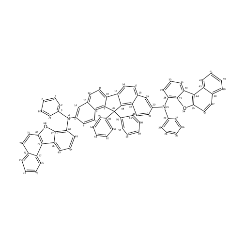 c1ccc(N(c2ccc3c4c(ccc3c2)-c2ccc3cc(N(c5ccccc5)c5cccc6c5oc5ccc7ccccc7c56)ccc3c2C4(c2ccccc2)c2ccccc2)c2cccc3c2oc2ccc4ccccc4c23)cc1